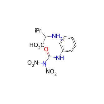 CC(C)C(N)C(=O)O.O=C(Nc1ccccc1)N([N+](=O)[O-])[N+](=O)[O-]